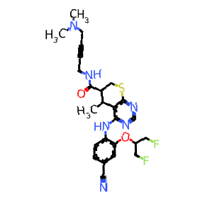 CC1c2c(Nc3ccc(C#N)cc3OC(CF)CF)ncnc2SCC1C(=O)NCC#CCN(C)C